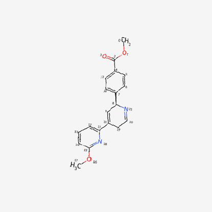 COC(=O)c1ccc([C@@H]2C=C(c3cccc(OC)n3)CC=N2)cc1